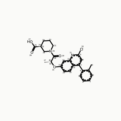 Cc1ccccc1-c1cc(Cl)nc2cc(O[C@H](C)C(=O)N3CCC[C@H](C(=O)O)C3)ccc12